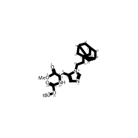 COC(=O)[C@H](Cc1cncn1CCC12CC3CC(CC(C3)C1)C2)NC(=O)OC(C)(C)C